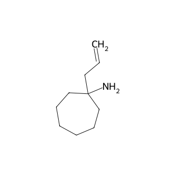 C=CCC1(N)CCCCCC1